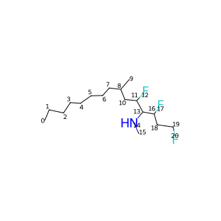 CCCCCCCCC(C)CC(F)C(NC)C(F)CCF